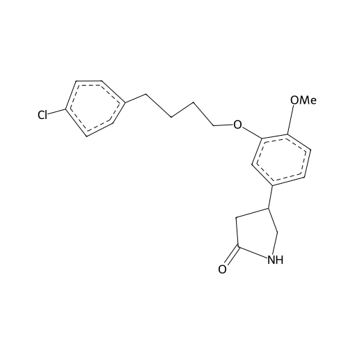 COc1ccc(C2CNC(=O)C2)cc1OCCCCc1ccc(Cl)cc1